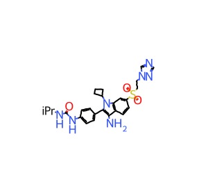 CC(C)NC(=O)Nc1ccc(-c2c(N)c3ccc(S(=O)(=O)CCn4cncn4)cc3n2C2CCC2)cc1